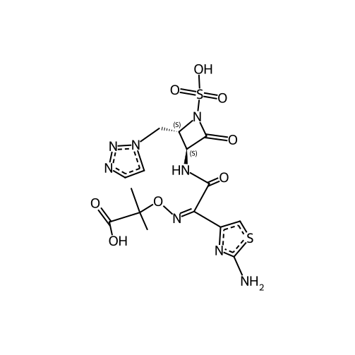 CC(C)(ON=C(C(=O)N[C@@H]1C(=O)N(S(=O)(=O)O)[C@H]1Cn1ccnn1)c1csc(N)n1)C(=O)O